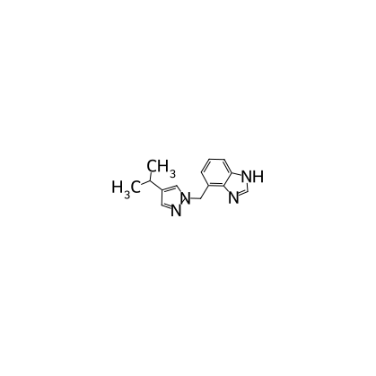 CC(C)c1cnn(Cc2cccc3[nH]cnc23)c1